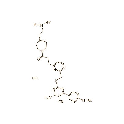 CC(=O)Nc1ccc(-c2nc(SCc3cccc(CCC(=O)N4CCN(CCN(C(C)C)C(C)C)CC4)n3)nc(N)c2C#N)cc1.Cl